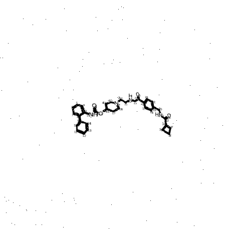 O=C(Nc1ccccc1-c1ccccc1)OC1CCN(CCNCC(=O)c2ccc(CNC(=O)C3CCC3)cc2)CC1